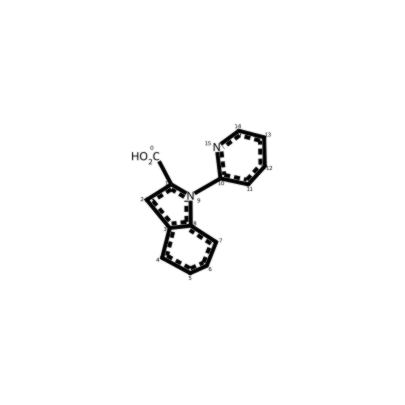 O=C(O)c1cc2ccccc2n1-c1ccccn1